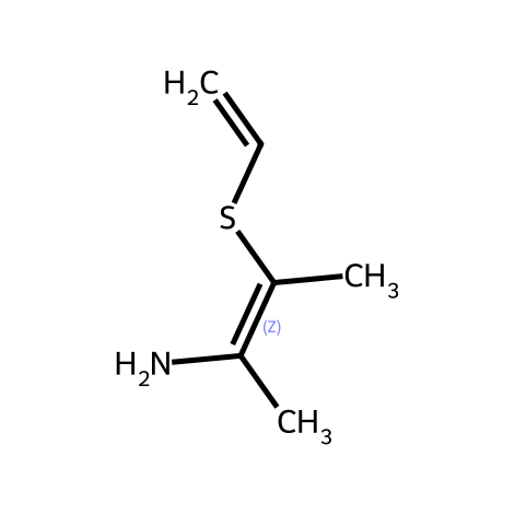 C=CS/C(C)=C(/C)N